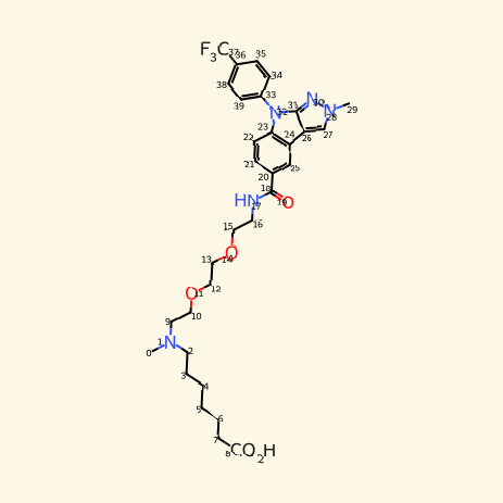 CN(CCCCCCC(=O)O)CCOCCOCCNC(=O)c1ccc2c(c1)c1cn(C)nc1n2-c1ccc(C(F)(F)F)cc1